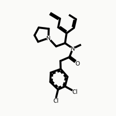 C=C/C=C(\C=C/C)C(CN1CCCC1)N(C)C(=O)Cc1ccc(Cl)c(Cl)c1